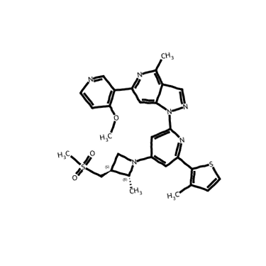 COc1ccncc1-c1cc2c(cnn2-c2cc(N3C[C@H](CS(C)(=O)=O)[C@H]3C)cc(-c3sccc3C)n2)c(C)n1